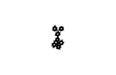 C1=CC2Cc3cc(-c4ccc(N(c5ccccc5)c5ccccc5)cc4)ccc3C(C3=CCCC=C3)(c3ccccc3)C2C=C1